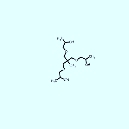 CC(O)COCC(C)(COCC(C)O)COCC(C)O